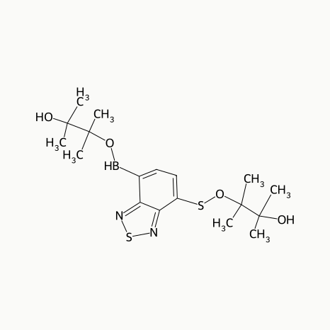 CC(C)(O)C(C)(C)OBc1ccc(SOC(C)(C)C(C)(C)O)c2nsnc12